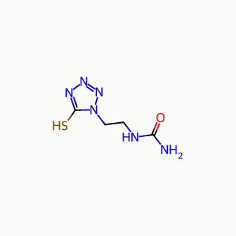 NC(=O)NCCn1nnnc1S